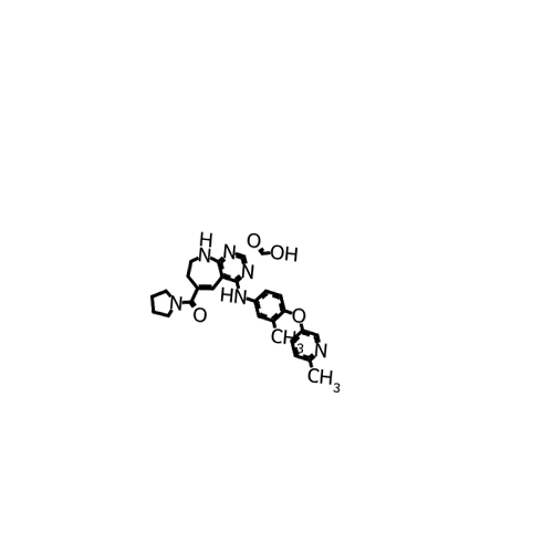 Cc1ccc(Oc2ccc(Nc3ncnc4c3C=C(C(=O)N3CCCC3)CCN4)cc2C)cn1.O=CO